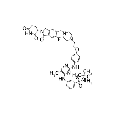 Cc1cnc(Nc2ccc(OCCN3CCN(Cc4cc5c(cc4F)C(=O)N(C4CCC(=O)NC4=O)C5)CC3)cc2)nc1Nc1cccc(S(=O)(=O)NC(C)(C)C)c1